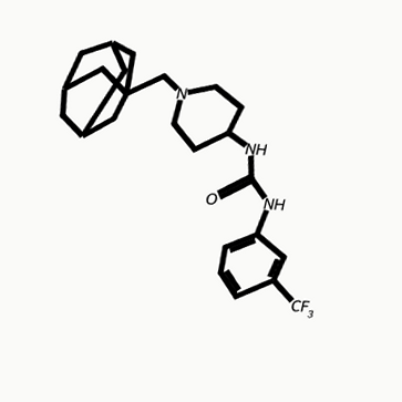 O=C(Nc1cccc(C(F)(F)F)c1)NC1CCN(CC23CC4CC(CC(C4)C2)C3)CC1